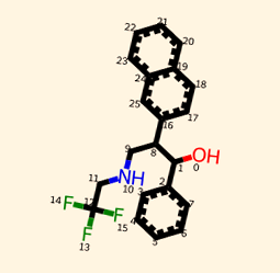 OC(c1ccccc1)C(CNCC(F)(F)F)c1ccc2ccccc2c1